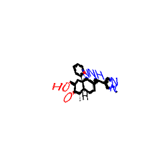 C[C@@H]1C(=O)/C(=C\O)C[C@]2(c3ccccc3)c3n[nH]c(-c4cnn(C)c4)c3CC[C@@H]12